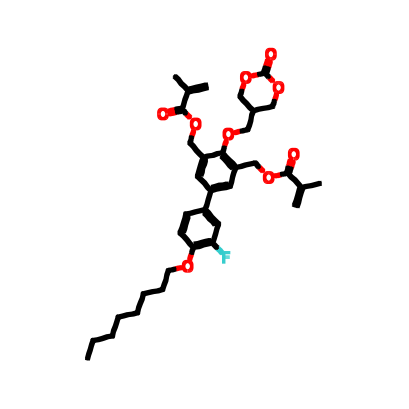 C=C(C)C(=O)OCc1cc(-c2ccc(OCCCCCCCC)c(F)c2)cc(COC(=O)C(=C)C)c1OCC1COC(=O)OC1